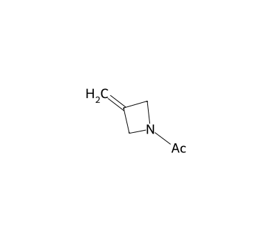 C=C1CN(C(C)=O)C1